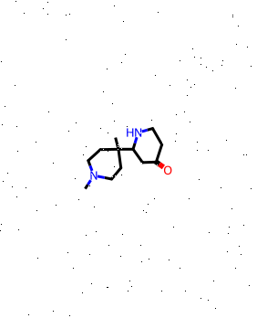 CN1CCC(C)(C2CC(=O)CCN2)CC1